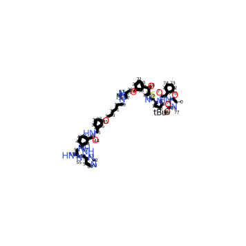 C[C@@H](C(=O)N[C@H](C(=O)N1CCC[C@H]1c1ncc(C(=O)c2cccc(OCc3cn(CCCCCCOc4cccc(CNC(=O)c5cccc(NCC(=N)N(C)C(=N)c6ccncn6)c5)c4)nn3)c2)s1)C1CCCCC1)N(C)C(=O)OC(C)(C)C